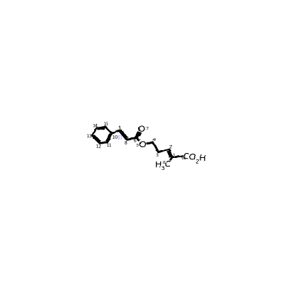 CC(=CCCOC(=O)/C=C/c1ccccc1)C(=O)O